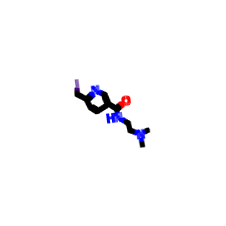 CN(C)CCNC(=O)c1ccc(CI)nc1